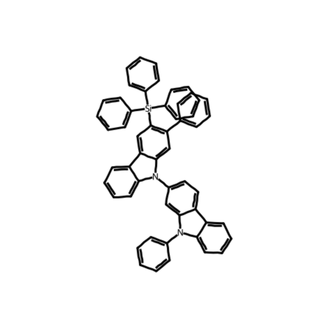 c1ccc(-c2cc3c(cc2[Si](c2ccccc2)(c2ccccc2)c2ccccc2)c2ccccc2n3-c2ccc3c4ccccc4n(-c4ccccc4)c3c2)cc1